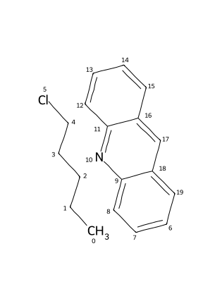 CCCCCCl.c1ccc2nc3ccccc3cc2c1